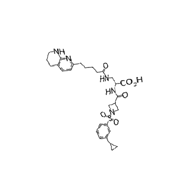 O=C(CCCCc1ccc2c(n1)NCCC2)NCC(NC(=O)C1CN(S(=O)(=O)c2cccc(C3CC3)c2)C1)C(=O)O